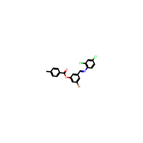 Cc1ccc(C(=O)Oc2cc(Br)cc(C=Nc3ccc(Cl)cc3Cl)c2)cc1